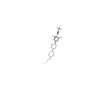 CCCC1CCC(C2CCC(c3cc(F)c(C#CC(F)(F)F)c(F)c3)CC2)CC1